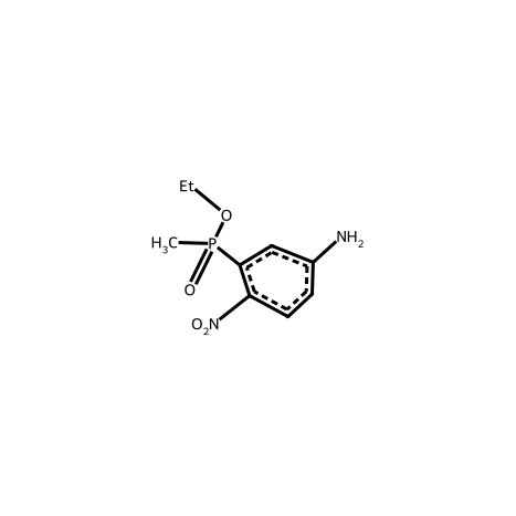 CCOP(C)(=O)c1cc(N)ccc1[N+](=O)[O-]